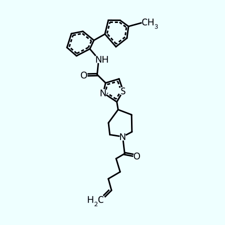 C=CCCCC(=O)N1CCC(c2nc(C(=O)Nc3ccccc3-c3ccc(C)cc3)cs2)CC1